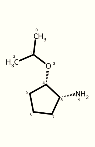 CC(C)O[C@H]1CCC[C@H]1N